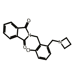 O=C1c2ccccc2C(=O)N1Cc1c(Cl)cccc1CN1CCC1